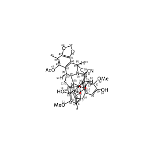 C=CCN1[C@@H]2c3c(cc(C)c(OC)c3O)C[C@H]1[C@H](C#N)N1C2[C@@H]2SCC3(NCCc4cc(O)c(OC)cc43)C(=O)OC[C@H]1c1c3c(c(C)c(OC(C)=O)c12)OCO3